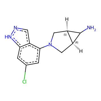 NC1[C@H]2CN(c3cc(Cl)cc4[nH]ncc34)C[C@@H]12